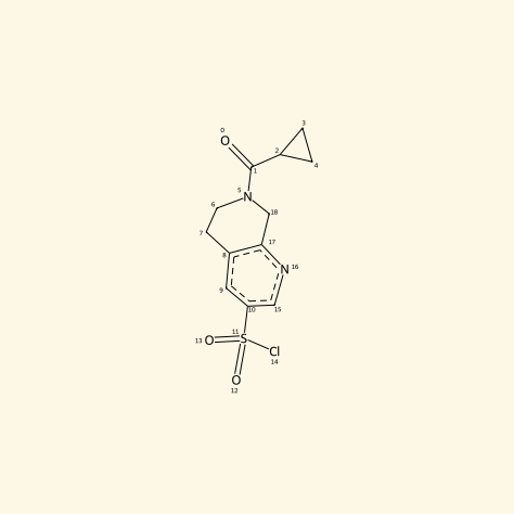 O=C(C1CC1)N1CCc2cc(S(=O)(=O)Cl)cnc2C1